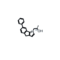 C[C@@H](O)Cn1ccc2c1-c1cc(-c3ccccc3)ccc1C2